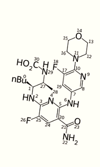 CCCC[C@H](Nc1nc(Nc2cnc(N3CCOCC3)c(F)c2)c(C(N)=O)cc1F)[C@H](C)NC(=O)O